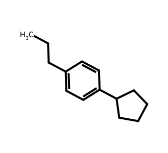 CCCc1ccc(C2CCCC2)cc1